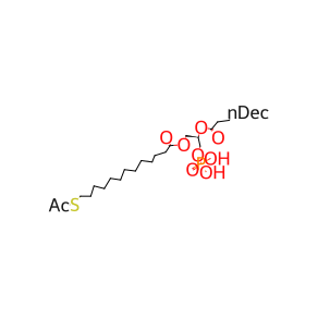 CCCCCCCCCCCCC(=O)O[C@H](COC(=O)CCCCCCCCCCCCSC(C)=O)COP(=O)(O)O